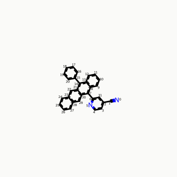 N#Cc1ccnc(-c2c3ccccc3c(-c3ccccc3)c3cc4ccccc4cc23)c1